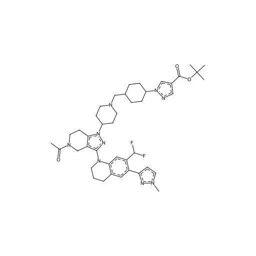 CC(=O)N1CCc2c(c(N3CCCc4cc(-c5ccn(C)n5)c(C(F)F)cc43)nn2C2CCN(CC3CCC(n4cc(C(=O)OC(C)(C)C)cn4)CC3)CC2)C1